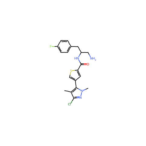 Cc1c(Cl)nn(C)c1-c1csc(C(=O)NC(CN)Cc2ccc(F)cc2)c1